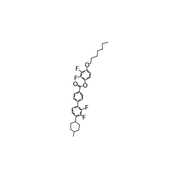 CCCCCCCOc1ccc(OC(=O)c2ccc(-c3ccc(C4CCC(C)CC4)c(F)c3F)cc2)c(F)c1F